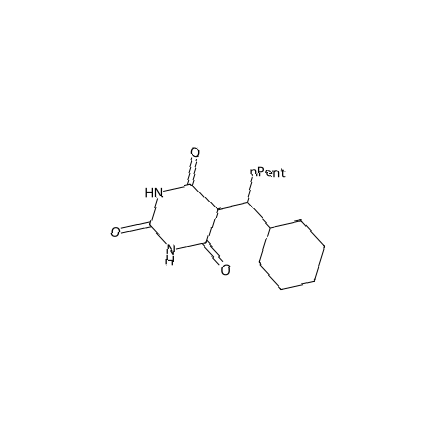 CCCCCC(C1CCCCC1)C1C(=O)NC(=O)NC1=O